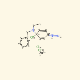 CCN(Cc1ccccc1)C1(Cl)C=CC(=[N+]=[N-])C=C1.[Cl-].[Cl-].[Zn+2]